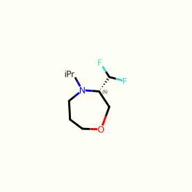 CC(C)N1CCCOC[C@H]1C(F)F